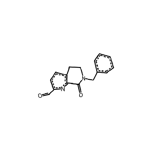 O=Cc1ccc2c(n1)C(=O)N(Cc1ccccc1)CC2